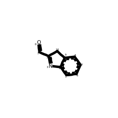 O=CC1=Nc2ccccc2C1